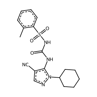 Cc1ccccc1S(=O)(=O)NC(=O)Nc1c(C#N)cnn1C1CCCCC1